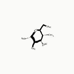 CO[C@@H]1OC(COC(C)=O)[C@H](C)[C@H](OC(C)=O)C1OC(C)=O